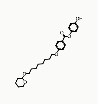 O=C(Oc1ccc(O)cc1)c1ccc(OCCCCCCCCOC2CCCCO2)cc1